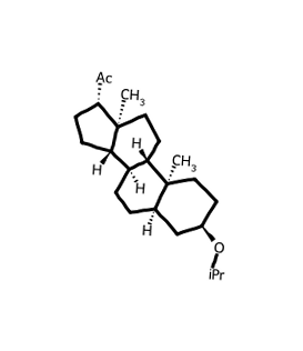 CC(=O)[C@H]1CC[C@H]2[C@@H]3CC[C@@H]4C[C@H](OC(C)C)CC[C@]4(C)[C@H]3CC[C@]12C